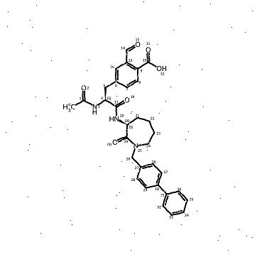 CC(=O)N[C@@H](Cc1ccc(C(=O)O)c(C=O)c1)C(=O)N[C@H]1CCCCN(Cc2ccc(-c3ccccc3)cc2)C1=O